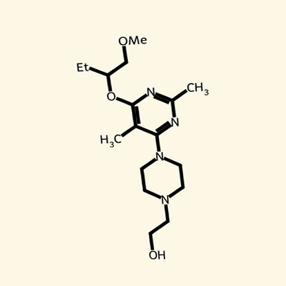 CCC(COC)Oc1nc(C)nc(N2CCN(CCO)CC2)c1C